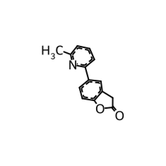 Cc1cccc(-c2ccc3c(c2)CC(=O)O3)n1